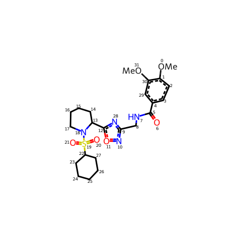 COc1ccc(C(=O)NCc2noc(C3CCCCN3S(=O)(=O)C3CCCCC3)n2)cc1OC